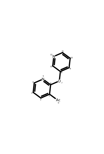 CC(=O)c1cccnc1Oc1cccnc1